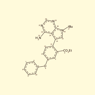 CCOC(=O)c1cc(Oc2ccccc2)ccc1-c1cn(C(C)(C)C)c2ncnc(N)c12